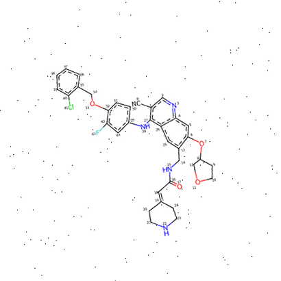 N#Cc1cnc2cc(OC3CCOC3)c(CNC(=O)C=C3CCNCC3)cc2c1Nc1ccc(OCc2ccccc2Cl)c(F)c1